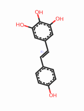 Oc1ccc(/C=C/c2cc(O)c(O)c(O)c2)cc1